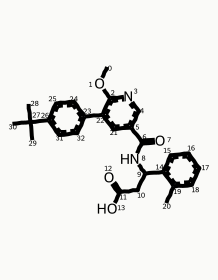 COc1ncc(C(=O)NC(CC(=O)O)c2ccccc2C)cc1-c1ccc(C(C)(C)C)cc1